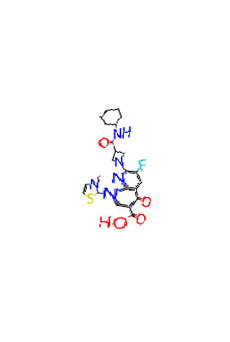 CN1C=CSC1n1cc(C(=O)O)c(=O)c2cc(F)c(N3CC(C(=O)NC4CCCCC4)C3)nc21